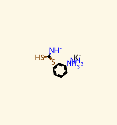 N.N.[K+].[NH-]C(=S)S.c1ccccc1